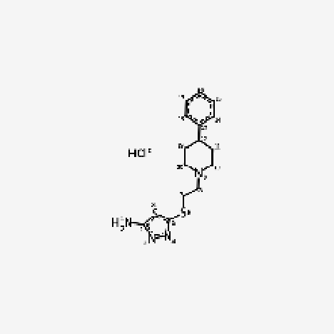 Cl.Nc1nnc(SCCN2CCC(c3ccccc3)CC2)s1